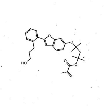 C=C(C)C(=O)OC(C)(C)CC(C)(C)Oc1ccc2cc(-c3ccccc3CCCO)oc2c1